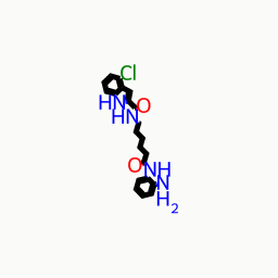 Nc1ccccc1NC(=O)CCCCCNC(=O)c1cc2c(Cl)cccc2[nH]1